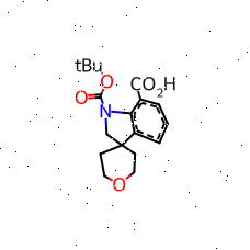 CC(C)(C)OC(=O)N1CC2(CCOCC2)c2cccc(C(=O)O)c21